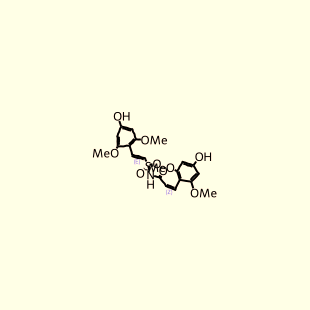 COc1cc(O)cc(OC)c1/C=C\C(=O)NS(=O)(=O)/C=C/c1c(OC)cc(O)cc1OC